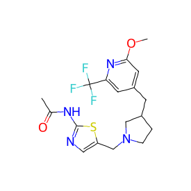 COc1cc(CC2CCN(Cc3cnc(NC(C)=O)s3)C2)cc(C(F)(F)F)n1